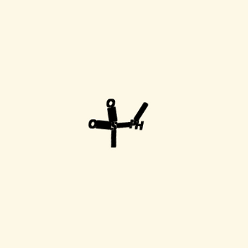 CPS(C)(=O)=O